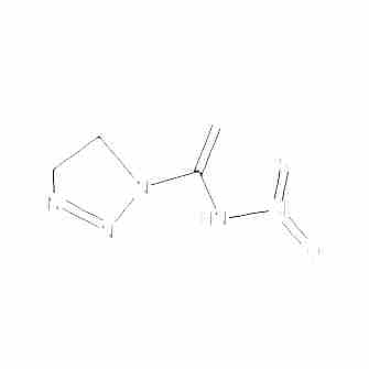 O=C(N[SH](=O)=O)N1CCN=N1